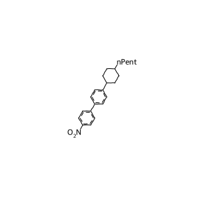 CCCCCC1CCC(c2ccc(-c3ccc([N+](=O)[O-])cc3)cc2)CC1